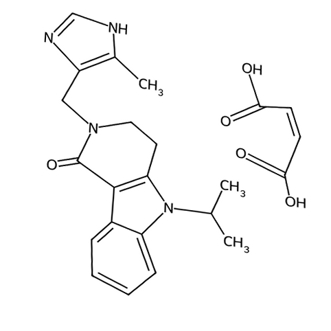 Cc1[nH]cnc1CN1CCc2c(c3ccccc3n2C(C)C)C1=O.O=C(O)/C=C\C(=O)O